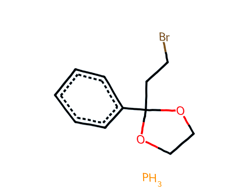 BrCCC1(c2ccccc2)OCCO1.P